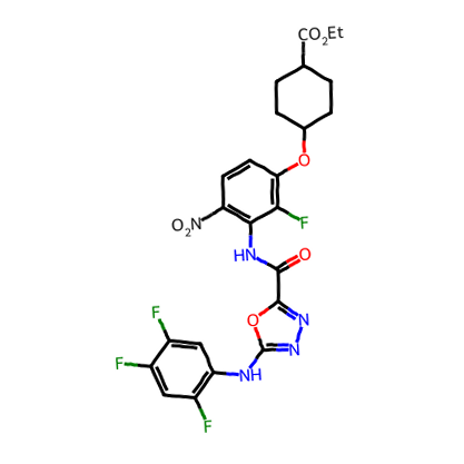 CCOC(=O)C1CCC(Oc2ccc([N+](=O)[O-])c(NC(=O)c3nnc(Nc4cc(F)c(F)cc4F)o3)c2F)CC1